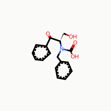 O=C(c1ccccc1)[C@H](CO)N(Cc1ccccc1)C(=O)O